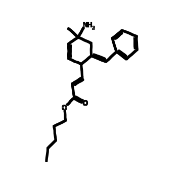 CCCCCOC(=O)C=CC1C=CC(C)(N)CC1=Cc1ccccc1